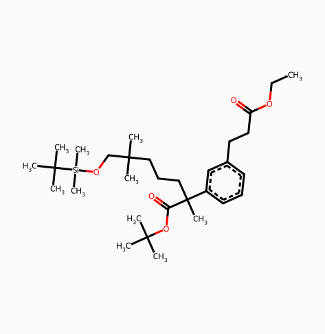 CCOC(=O)CCc1cccc(C(C)(CCCC(C)(C)CO[Si](C)(C)C(C)(C)C)C(=O)OC(C)(C)C)c1